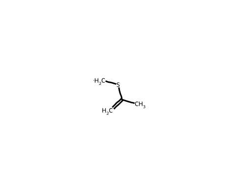 [CH2]SC(=C)C